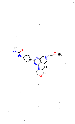 CCNC(=O)Nc1ccc(-c2nc3c(c(N4CCOCC4C)n2)CCN(CCOC(C)(C)C)C3)cc1